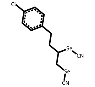 N#C[Se]CC(CCc1ccc(Cl)cc1)[Se]C#N